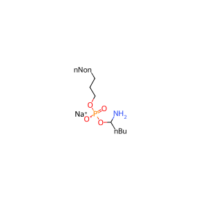 CCCCCCCCCCCCOP(=O)([O-])OC(N)CCCC.[Na+]